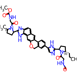 CCC[C@H]1CCC(c2ncc(-c3ccc4c(c3)COc3cc5c(ccc6nc(C7CC[C@H](C)N7C(=O)CNC(=O)OC)[nH]c65)cc3-4)[nH]2)N1C(=O)CNC=O